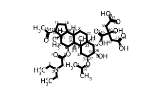 CCN(CC)CC(=O)O[C@H]1C[C@]2(C)[C@@H](C(C)=O)CC[C@H]2[C@@H]2CC[C@H]3C[C@H](O)[C@@H](OC(C)C)C[C@]3(C)[C@H]21.O=C(O)CC(O)(CC(=O)O)C(=O)O